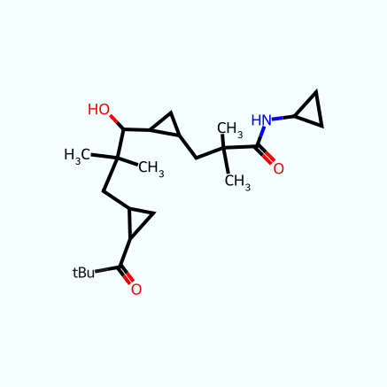 CC(C)(C)C(=O)C1CC1CC(C)(C)C(O)C1CC1CC(C)(C)C(=O)NC1CC1